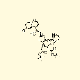 COc1ccc2nccc([C@@H](O)CN3CCC(N(CC(=O)OC(C)(C)C)C(CC(=O)OC(C)(C)C)c4cc5cccnc5[nH]4)CC3)c2c1